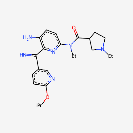 CCN1CCC(C(=O)N(CC)c2ccc(N)c(C(=N)c3ccc(OC(C)C)nc3)n2)C1